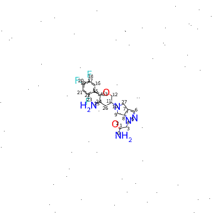 NC(=O)Cn1ncc2c1CN(C1CO[C@H](c3cc(F)c(F)cc3F)C(N)C1)C2